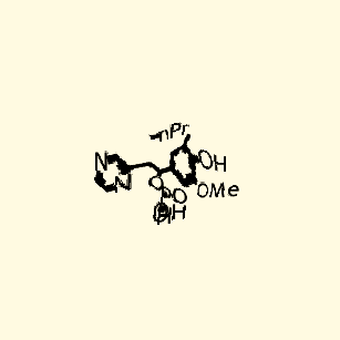 CCCC.COc1cc(C(Cc2cnccn2)O[PH](=O)O)cc(C)c1O